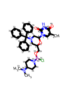 Cc1cn(C2CN(C(c3ccccc3)(c3ccccc3)c3ccccc3)CC(COP(Cl)N3CCC(N(C)C)CC3)O2)c(=O)[nH]c1=O